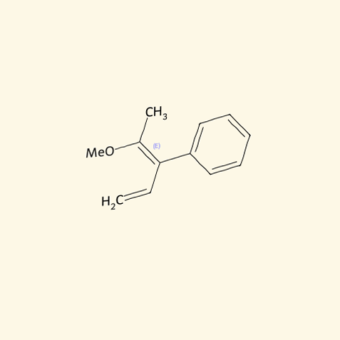 C=C/C(=C(/C)OC)c1ccccc1